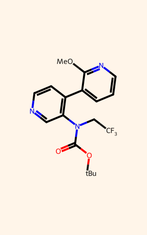 COc1ncccc1-c1ccncc1N(CC(F)(F)F)C(=O)OC(C)(C)C